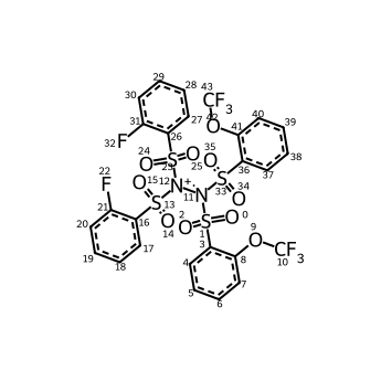 O=S(=O)(c1ccccc1OC(F)(F)F)N([N+](S(=O)(=O)c1ccccc1F)S(=O)(=O)c1ccccc1F)S(=O)(=O)c1ccccc1OC(F)(F)F